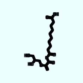 C=C(OCC(O)CO)C(=O)OC(=O)CCCCCCCCC(=O)O